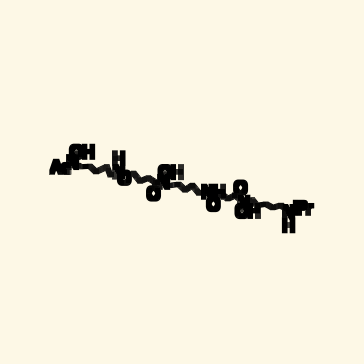 CC(=O)N(O)CCCCCNOCCCC(=O)N(O)CCCCCNC(=O)CCC(=O)N(O)CCCCCNC(C)C